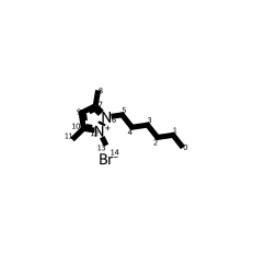 CCCCCCn1c(C)cc(C)[n+]1C.[Br-]